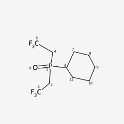 O=P(CC(F)(F)F)(CC(F)(F)F)C1CCCCC1